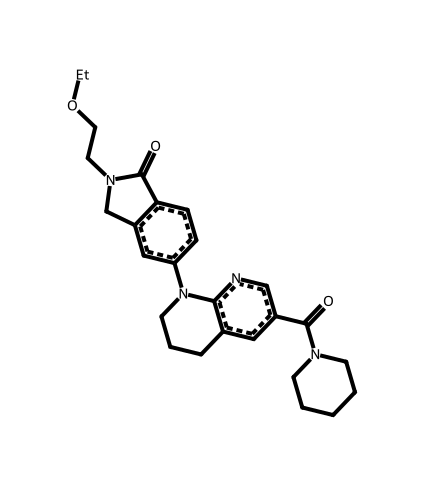 CCOCCN1Cc2cc(N3CCCc4cc(C(=O)N5CCCCC5)cnc43)ccc2C1=O